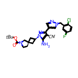 CC(C)(C)OC(=O)N1CC[C@]2(C1)C[C@H](n1nc(-c3cnn(Cc4cc(F)ccc4Cl)c3)c(C#N)c1N)C2